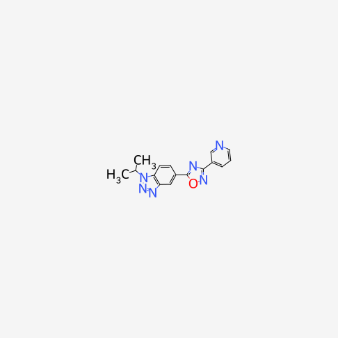 CC(C)n1nnc2cc(-c3nc(-c4cccnc4)no3)ccc21